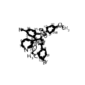 CCOc1ncccc1C1(NC(=O)c2ccc(Br)cc2)C(=O)N(S(=O)(=O)c2ccc(OC)cc2)c2ccc(C#N)cc21